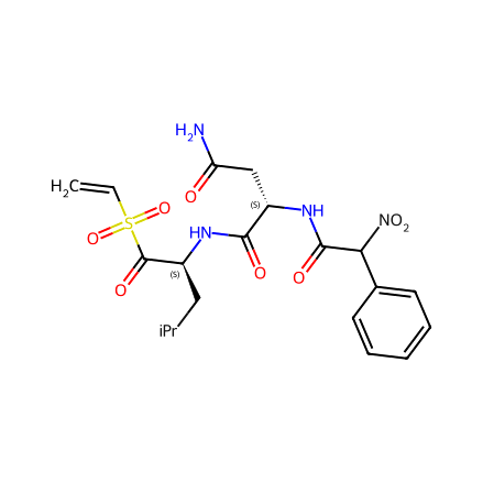 C=CS(=O)(=O)C(=O)[C@H](CC(C)C)NC(=O)[C@H](CC(N)=O)NC(=O)C(c1ccccc1)[N+](=O)[O-]